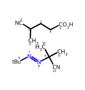 CC(C#N)CCC(=O)O.CC(C)(C)N=NC(C)(C)C#N